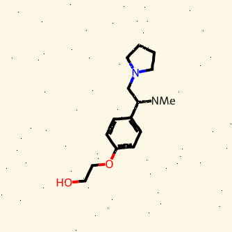 CNC(CN1CCCC1)c1ccc(OCCO)cc1